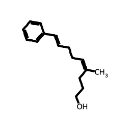 CC(=CCCC=Cc1ccccc1)CCCO